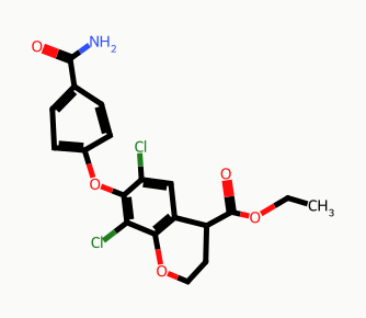 CCOC(=O)C1CCOc2c1cc(Cl)c(Oc1ccc(C(N)=O)cc1)c2Cl